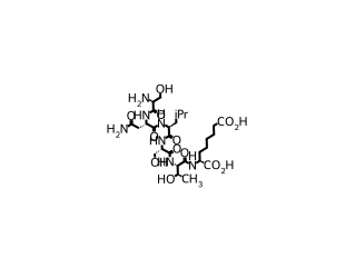 CC(C)C[C@H](NC(=O)[C@H](CC(N)=O)NC(=O)[C@@H](N)CO)C(=O)N[C@@H](CO)C(=O)N[C@H](C(=O)N[C@@H](CCCCCC(=O)O)C(=O)O)[C@@H](C)O